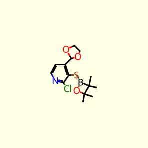 CC1(C)OB(Sc2c(C3OCCO3)ccnc2Cl)C1(C)C